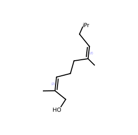 C/C(=C/CC/C(C)=C\CC(C)C)CO